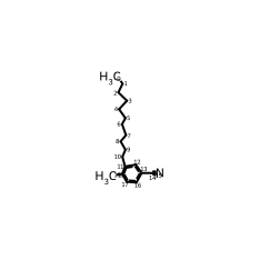 CCCCCCCCCCCc1cc(C#N)ccc1C